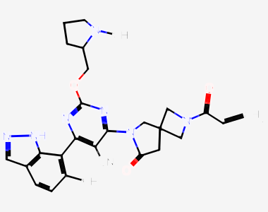 C=CC(=O)N1CC2(CC(=O)N(c3nc(OCC4CCCN4C)nc(-c4c(C)ccc5cn[nH]c45)c3C#N)C2)C1